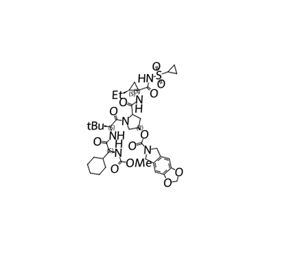 CC[C@H]1C[C@@]1(NC(=O)C1C[C@@H](OC(=O)N2Cc3cc4c(cc3C2)OCO4)CN1C(=O)[C@@H](NC(=O)[C@@H](NC(=O)OC)C1CCCCC1)C(C)(C)C)C(=O)NS(=O)(=O)C1CC1